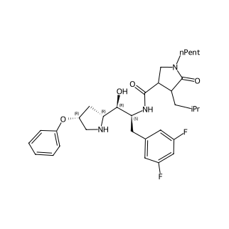 CCCCCN1CC(C(=O)N[C@@H](Cc2cc(F)cc(F)c2)[C@H](O)[C@H]2C[C@@H](Oc3ccccc3)CN2)C(CC(C)C)C1=O